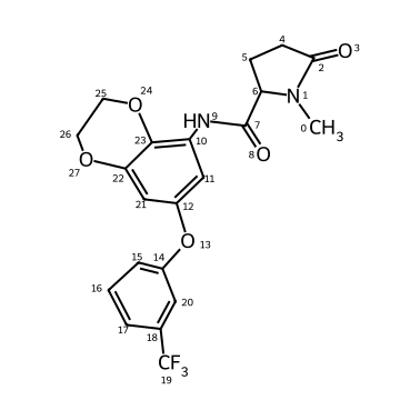 CN1C(=O)CCC1C(=O)Nc1cc(Oc2cccc(C(F)(F)F)c2)cc2c1OCCO2